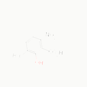 Cc1ccc([N+](=O)[O-])c(C(=O)O)c1O